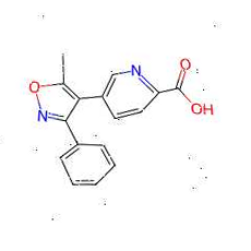 Cc1onc(-c2ccccc2)c1-c1ccc(C(=O)O)nc1